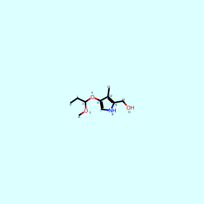 CCC(OC)Oc1c[nH]c(CO)c1C